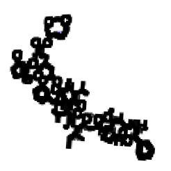 CC[C@H](C)[C@@H]([C@@H](CC(=O)N1CCC[C@H]1[C@H](OC)[C@@H](C)C(=O)N[C@H](C)[C@@H](O)c1ccccc1)OC)N(C)C(=O)[C@@H](NC(=O)[C@H](C(C)C)N(C)C(=O)OCc1cccc(OC(=O)CC(CN(C)C(=O)OC2/C=C/COCOC2)C(=O)ON2C(=O)CCC2=O)c1)C(C)C